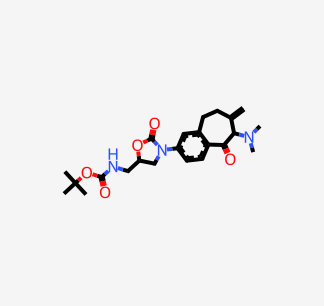 C=C1CCc2cc(N3CC(CNC(=O)OC(C)(C)C)OC3=O)ccc2C(=O)C1N(C)C